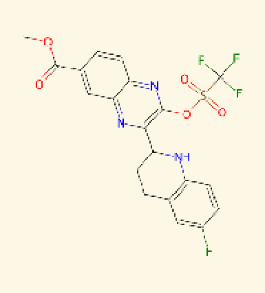 COC(=O)c1ccc2nc(OS(=O)(=O)C(F)(F)F)c(C3CCc4cc(F)ccc4N3)nc2c1